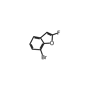 Fc1cc2cccc(Br)c2o1